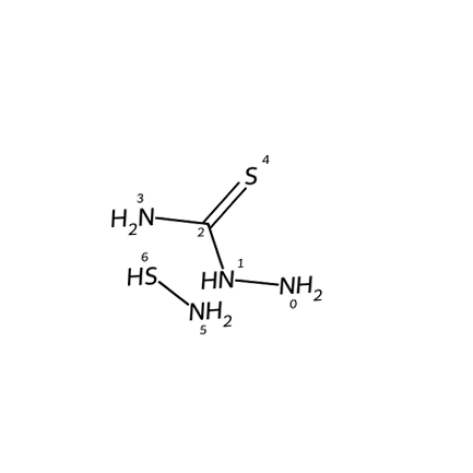 NNC(N)=S.NS